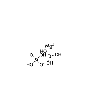 OB(O)O.[Mg+2].[O-][Si]([O-])(O)O